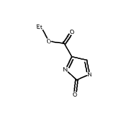 CCOC(=O)C1=NC(=O)N=C1